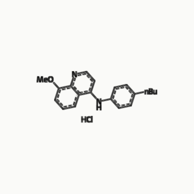 CCCCc1ccc(Nc2ccnc3c(OC)cccc23)cc1.Cl